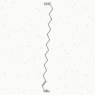 CCCCC=CCCCCCCCCCCCCCCC=O